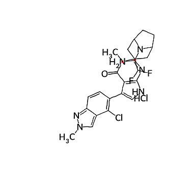 Cl.Cn1cc2c(Cl)c(-c3c[nH]c4nc(N5C6CCC5CC(N)(C(F)F)C6)n(C)c(=O)c34)ccc2n1